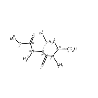 CC(C)C[C@H](C(=O)N(C)[C@H](C)C(=O)O)N(C)C(=O)OC(C)(C)C